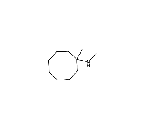 CNC1(C)CCCCCCC1